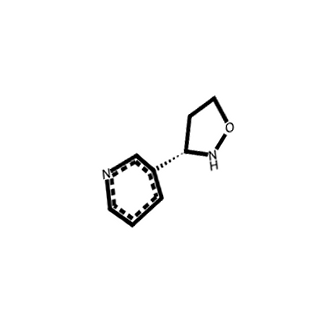 c1cncc([C@@H]2CCON2)c1